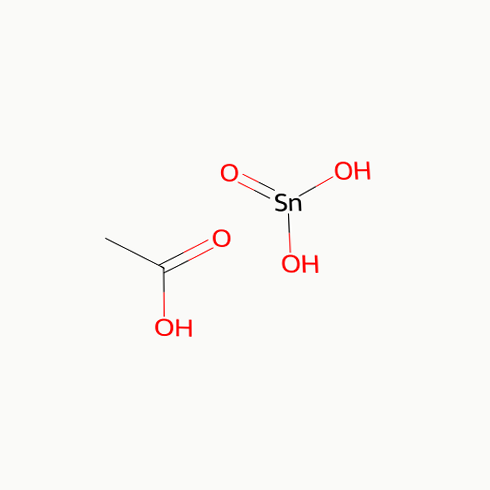 CC(=O)O.[O]=[Sn]([OH])[OH]